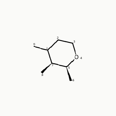 CC1CCO[C@@H](C)[C@H]1C